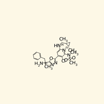 C[C@H]1CC1[C@@H](C)Nc1cc(-c2nnc([C@](C)(N)Cc3ccccc3)o2)c(Cl)c(N(C)S(C)(=O)=O)n1